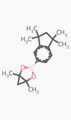 CC1(C)CC(C)(C)c2cc(B3OC4(C)CC4(C)O3)ccc21